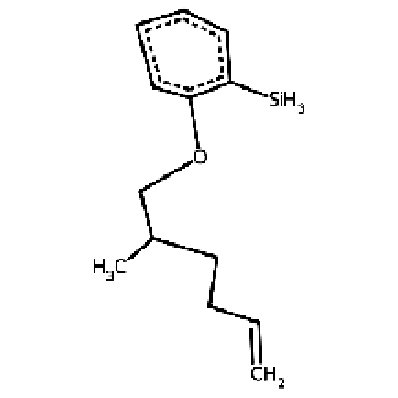 C=CCCC(C)COc1ccccc1[SiH3]